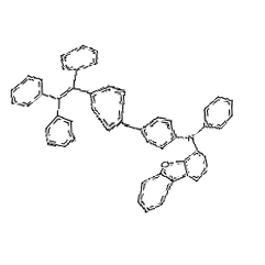 c1ccc(C(=C(c2ccccc2)c2ccc(-c3ccc(N(c4ccccc4)c4cccc5c4oc4ccccc45)cc3)cc2)c2ccccc2)cc1